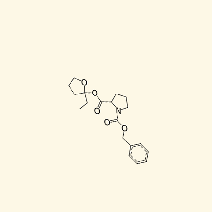 CCC1(OC(=O)C2CCCN2C(=O)OCc2ccccc2)CCCO1